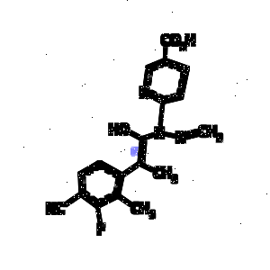 C=NN(/C(O)=C(\C)c1ccc(C#N)c(F)c1C)c1ccc(C(=O)O)cn1